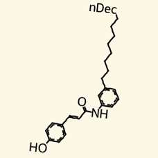 CCCCCCCCCCCCCCCCCCc1cccc(NC(=O)C=Cc2ccc(O)cc2)c1